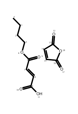 CCCCOC(=O)C=CC(=O)O.O=C1C=CC(=O)O1